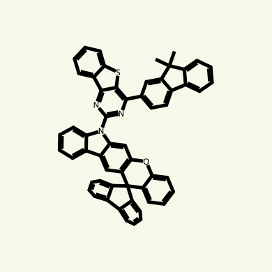 CC1(C)c2ccccc2-c2ccc(-c3nc(-n4c5ccccc5c5cc6c(cc54)Oc4ccccc4C64c5ccccc5-c5ccccc54)nc4c3sc3ccccc34)cc21